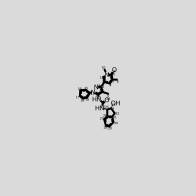 Cc1c(-c2cc(C)c(=O)n(C)c2)nn(-c2ccccc2)c1NC(=O)N[C@@H]1c2ccccc2C[C@H]1O